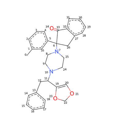 Cc1cccc(C2(N3CCN(C(Cc4ccccc4)C4=COCO4)CC3)Cc3ccccc3C2=O)c1